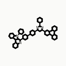 c1ccc(-c2nc(-c3ccc(-c4ccc(-c5nc6ccccc6c6c7ccccc7n(-c7ccccc7)c56)cc4)cc3)cc(-c3ccc4c5ccccc5c5ccccc5c4c3)n2)cc1